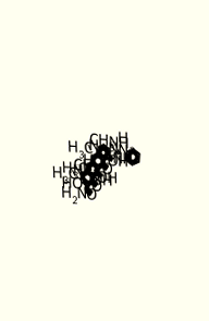 CN(C)c1cc(N(N)C(=N)NC2CCCCC2)c(O)c2c1C[C@H]1C[C@@]3(C)[C@H](N(C)C)C(O)=C(C(N)=O)C(=O)[C@@]3(O)C(O)=C1C2=O